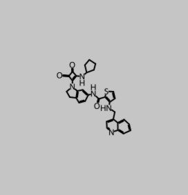 O=C(Nc1ccc2c(c1)N(c1c(NC3CCCC3)c(=O)c1=O)CC2)c1sccc1NCc1ccnc2ccccc12